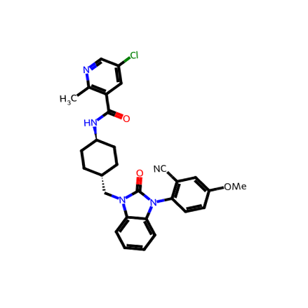 COc1ccc(-n2c(=O)n(C[C@H]3CC[C@H](NC(=O)c4cc(Cl)cnc4C)CC3)c3ccccc32)c(C#N)c1